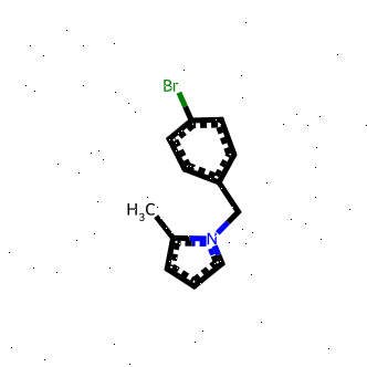 Cc1cccn1Cc1ccc(Br)cc1